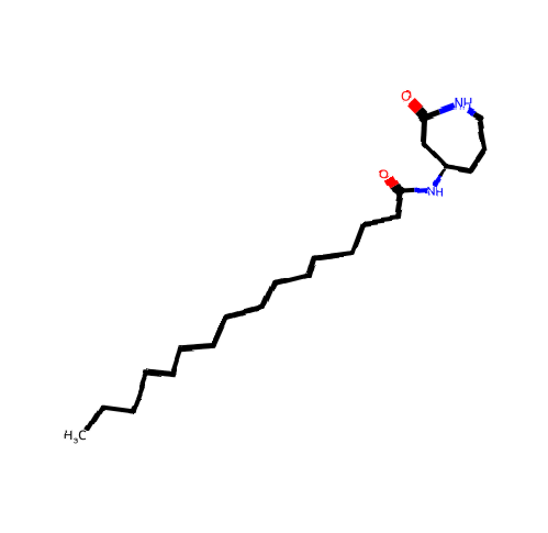 CCCCCCCCCCCCCCCC(=O)N[C@@H]1CCCNC(=O)C1